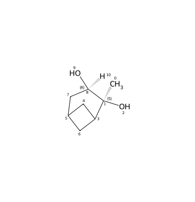 C[C@]1(O)C2CC(C2)C[C@H]1O